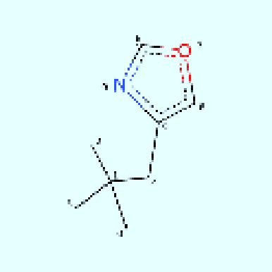 CC(C)(C)Cc1co[c]n1